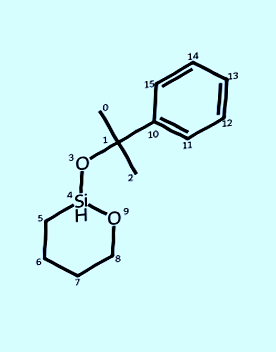 CC(C)(O[SiH]1CCCCO1)c1ccccc1